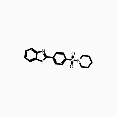 O=S(=O)(c1ccc(-c2nc3ccccc3s2)cc1)N1CCCCC1